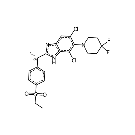 CCS(=O)(=O)c1ccc([C@H](C)c2nc3cc(Cl)c(N4CCC(F)(F)CC4)c(Cl)c3[nH]2)cc1